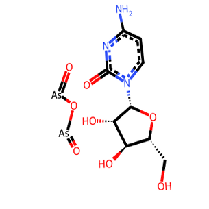 Nc1ccn([C@@H]2O[C@H](CO)[C@@H](O)[C@@H]2O)c(=O)n1.O=[As]O[As]=O